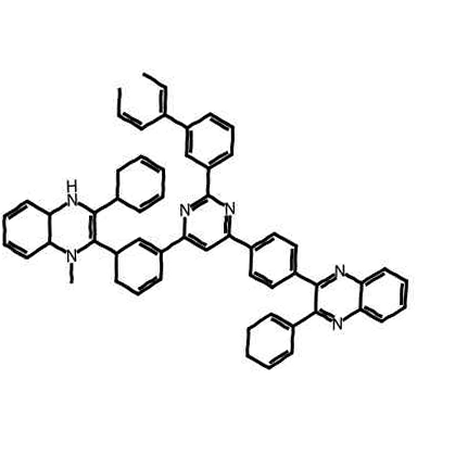 C/C=C\C(=C/C)c1cccc(-c2nc(C3=CC(C4=C(C5C=CC=CC5)NC5C=CC=CC5N4C)CC=C3)cc(-c3ccc(-c4nc5ccccc5nc4C4=CCCC=C4)cc3)n2)c1